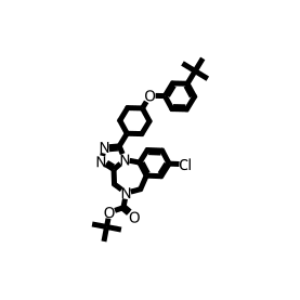 CC(C)(C)OC(=O)N1Cc2cc(Cl)ccc2-n2c(nnc2C2CCC(Oc3cccc(C(C)(C)C)c3)CC2)C1